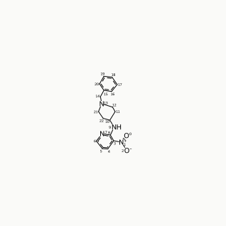 O=[N+]([O-])c1cccnc1NC1CCN(Cc2ccccc2)CC1